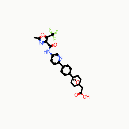 Cc1nc(C(=O)Nc2ccc(-c3ccc(C45CCC(CC(=O)O)(CC4)OC5)cc3)nc2)c(C(F)(F)F)o1